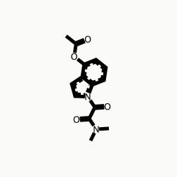 CC(=O)Oc1cccc2c1ccn2C(=O)C(=O)N(C)C